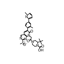 Cc1cccc(-c2ccc(-c3cc4cnc([S+](C)[O-])nc4n(CC(=O)N4CCN(C(=O)O)C(C(C)(C)C)C4)c3=O)c(C)c2)n1